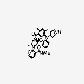 CNC(=O)c1cccnc1N1CCN(C(=O)c2cc(N(c3ccccc3C#N)C3CCNCC3)c(C)cc2C)C[C@@H]1C